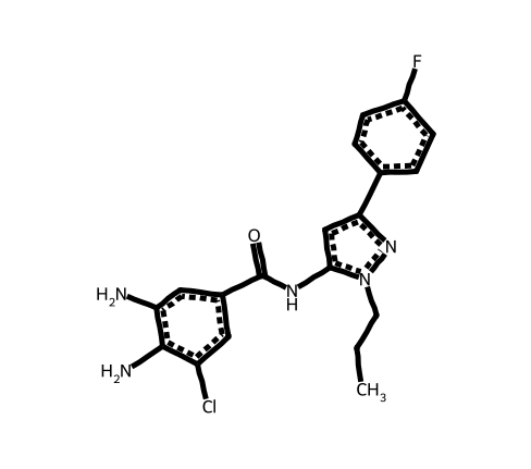 CCCn1nc(-c2ccc(F)cc2)cc1NC(=O)c1cc(N)c(N)c(Cl)c1